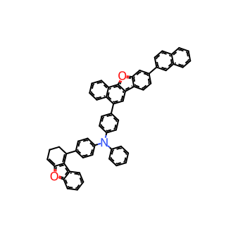 C1=c2oc3ccccc3c2=C(c2ccc(N(c3ccccc3)c3ccc(-c4cc5c6ccc(-c7ccc8ccccc8c7)cc6oc5c5ccccc45)cc3)cc2)CC1